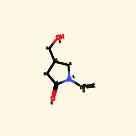 CCCCCN1CC(CO)CC1=O